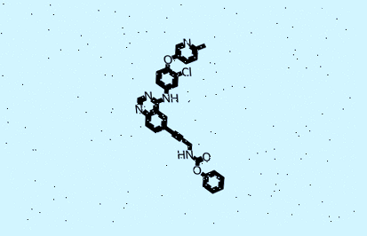 Cc1ccc(Oc2ccc(Nc3ncnc4ccc(C#CCNC(=O)Oc5ccccc5)cc34)cc2Cl)cn1